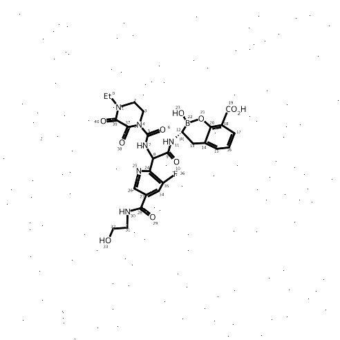 CCN1CCN(C(=O)NC(C(=O)N[C@H]2Cc3cccc(C(=O)O)c3OB2O)c2ncc(C(=O)NCCO)cc2F)C(=O)C1=O